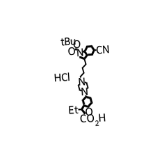 CCc1c(C(=O)O)oc2ccc(N3CCN(CCCCc4cn(C(=O)OC(C)(C)C)c5ccc(C#N)cc45)CC3)cc12.Cl